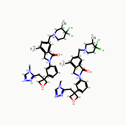 Cn1cnnc1CC1(c2cccc(N3Cc4c(cc(CN5CCC(F)(F)C(C#N)C5)cc4C(F)(F)F)C3=O)c2)COC1.Cn1cnnc1CC1(c2cccc(N3Cc4c(cc(CN5CCC(F)(F)[C@H](C#N)C5)cc4C(F)(F)F)C3=O)c2)COC1